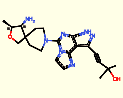 C[C@@H]1OCC2(CCN(c3nc4[nH]nc(C#CC(C)(C)O)c4c4nccn34)CC2)[C@@H]1N